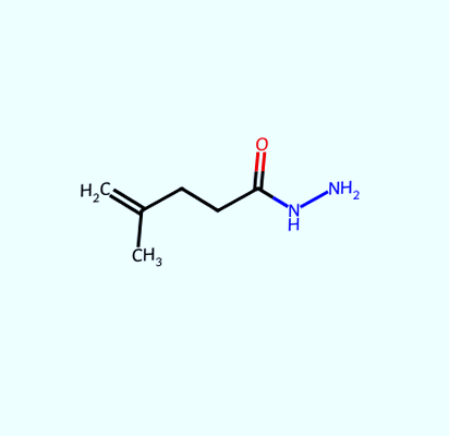 C=C(C)CCC(=O)NN